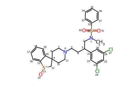 CN(CC(CCN1CCC2(CC1)C[S+]([O-])c1ccccc12)c1cc(Cl)cc(Cl)c1)S(=O)(=O)c1ccccc1